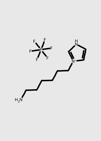 F[P-](F)(F)(F)(F)F.NCCCCCC[n+]1cc[nH]c1